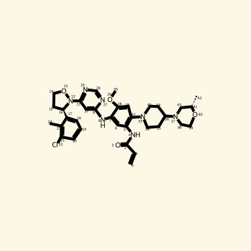 C=CC(=O)Nc1cc(Nc2cc(N3OCC[C@@H]3c3cccc(Cl)c3C)ncn2)c(OC)cc1N1CCC(N2CCO[C@@H](C)C2)CC1